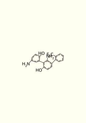 Nc1ccc(O)c(-c2c(O)ccc(-c3ccccc3C(F)(F)F)c2N)c1